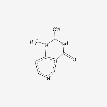 CN1c2ccncc2C(=O)NC1O